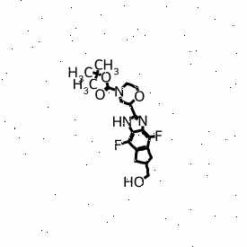 CC(C)(C)OC(=O)N1CCOC(c2nc3c(F)c4c(c(F)c3[nH]2)CC(CO)C4)C1